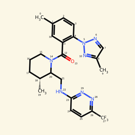 Cc1ccc(-n2ncc(C)n2)c(C(=O)N2CCC[C@@H](C)C2CNc2ccc(C(F)(F)F)nn2)c1